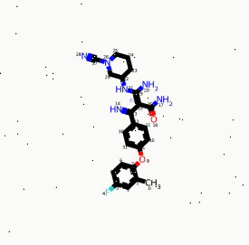 Cc1cc(F)ccc1Oc1ccc(C(=N)/C(C(N)=O)=C(/N)NC2CCCN(C#N)C2)cc1